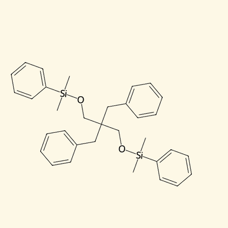 C[Si](C)(OCC(CO[Si](C)(C)c1ccccc1)(Cc1ccccc1)Cc1ccccc1)c1ccccc1